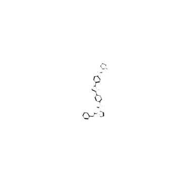 CC(=O)N1CCC[C@H]1C(=O)Nc1ccc(-c2nc(C3C=CC(NC(=O)[C@@H]4C=CCN4C(=O)Cc4ccccc4)=CC3)cs2)cc1